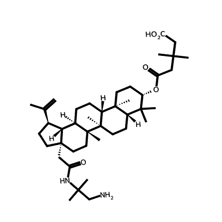 C=C(C)[C@@H]1CC[C@]2(CC(=O)NC(C)(C)CN)CC[C@]3(C)[C@H](CC[C@@H]4[C@@]5(C)CC[C@H](OC(=O)CC(C)(C)CC(=O)O)C(C)(C)[C@@H]5CC[C@]43C)[C@@H]12